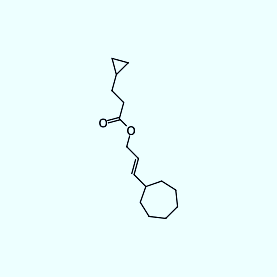 O=C(CCC1CC1)OCC=CC1CCCCCC1